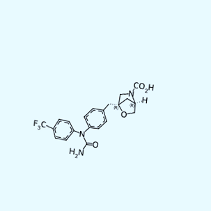 NC(=O)N(c1ccc(C[C@]23C[C@H](CO2)N(C(=O)O)C3)cc1)c1ccc(C(F)(F)F)cc1